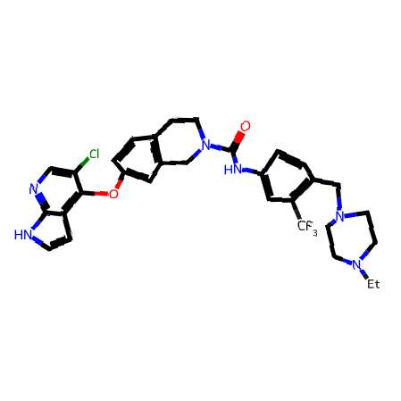 CCN1CCN(Cc2ccc(NC(=O)N3CCc4ccc(Oc5c(Cl)cnc6[nH]ccc56)cc4C3)cc2C(F)(F)F)CC1